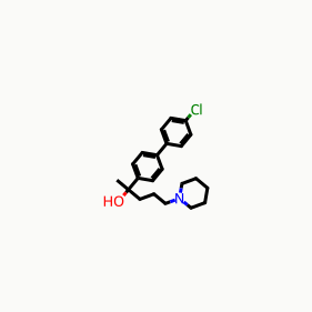 CC(O)(CCCN1CCCCC1)c1ccc(-c2ccc(Cl)cc2)cc1